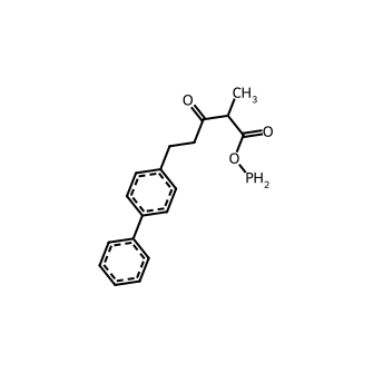 CC(C(=O)CCc1ccc(-c2ccccc2)cc1)C(=O)OP